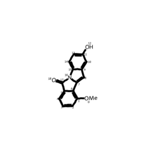 COc1cccc2c1-c1cc3cc(O)ccc3n1C2=O